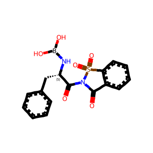 O=C1c2ccccc2S(=O)(=O)N1C(=O)[C@H](Cc1ccccc1)NB(O)O